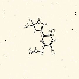 CC(=O)C1(C)CC(c2cc(N=C=O)c(F)cc2Cl)=NO1